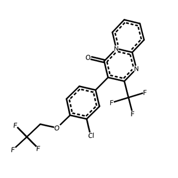 O=c1c(-c2ccc(OCC(F)(F)F)c(Cl)c2)c(C(F)(F)F)nc2ccccn12